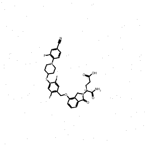 N#Cc1ccc(N2CCC(Sc3cc(F)c(COc4cccc5c4CN([C@@H](CCC(=O)O)C(N)=O)C5=O)cc3F)CC2)c(F)c1